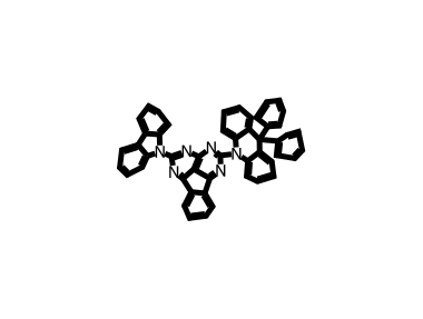 c1ccc(C2(c3ccccc3)c3ccccc3N(c3nc4c5c(nc(-n6c7ccccc7c7ccccc76)nc5n3)-c3ccccc3-4)c3ccccc32)cc1